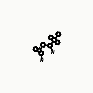 N#Cc1cc(-c2cccc(-n3c4ccccc4c4cc(C#N)ccc43)c2)cc(-c2c3ccccc3c(-c3ccccc3)c3ccccc23)c1